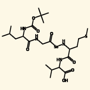 CSCCC(N[Se]C(=O)CNC(=O)C(CC(C)C)NC(=O)OC(C)(C)C)C(=O)NC(C(=O)O)C(C)C